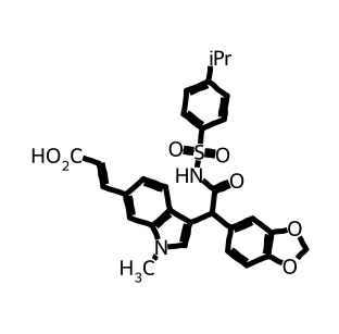 CC(C)c1ccc(S(=O)(=O)NC(=O)C(c2ccc3c(c2)OCO3)c2cn(C)c3cc(C=CC(=O)O)ccc23)cc1